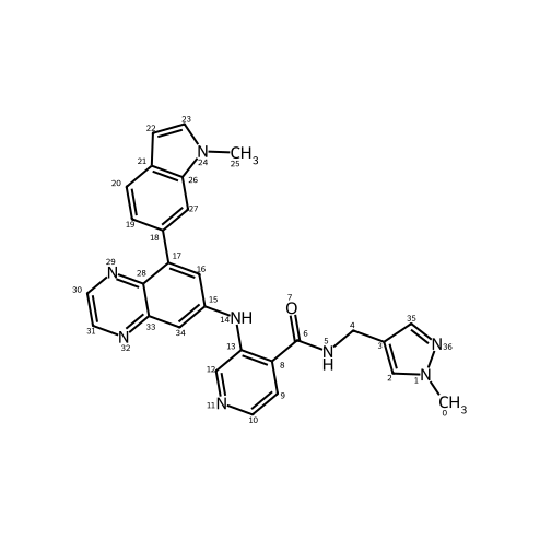 Cn1cc(CNC(=O)c2ccncc2Nc2cc(-c3ccc4ccn(C)c4c3)c3nccnc3c2)cn1